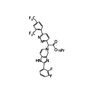 CCCOC(=O)C(c1ccc(-c2ccc(C(F)(F)F)cc2C(F)(F)F)nn1)N1C=Cc2[nH]c(-c3cccc(F)c3F)nc2C1